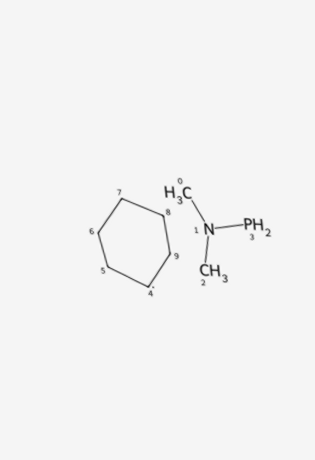 CN(C)P.[CH]1CCCCC1